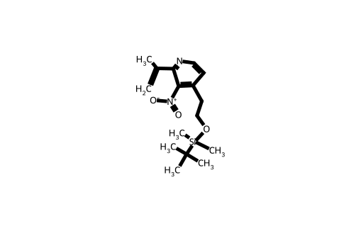 C=C(C)c1nccc(CCO[Si](C)(C)C(C)(C)C)c1[N+](=O)[O-]